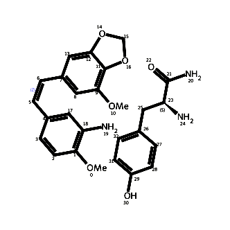 COc1ccc(/C=C\c2cc(OC)c3c(c2)OCO3)cc1N.NC(=O)[C@@H](N)Cc1ccc(O)cc1